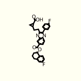 O=C(O[C@@H]1CCCc2cc(F)ccc21)c1ccc2nc(-c3ccc(F)cc3)c(CCC3CC3C(=O)O)nc2c1